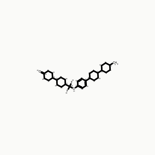 CC1CCC(C2CCC(c3ccc(OC(F)(F)C4CCC(C5CCC(=O)CC5)CC4)cc3)CC2)CC1